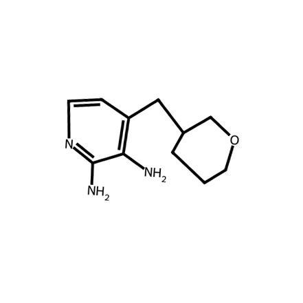 Nc1nccc(CC2CCCOC2)c1N